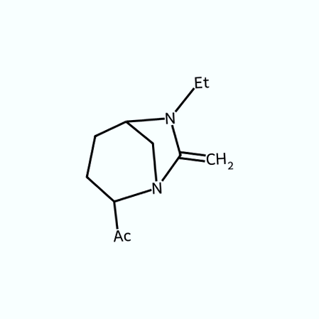 C=C1N(CC)C2CCC(C(C)=O)N1C2